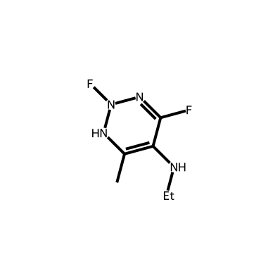 CCNC1=C(C)NN(F)N=C1F